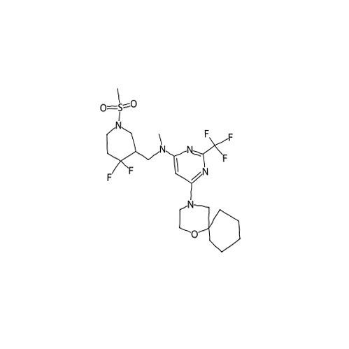 CN(CC1CN(S(C)(=O)=O)CCC1(F)F)c1cc(N2CCOC3(CCCCC3)C2)nc(C(F)(F)F)n1